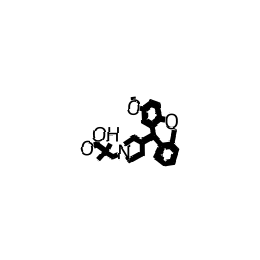 COc1ccc2c(c1)C(=C1CCN(CC(C)(C)C(=O)O)CC1)c1ccccc1CO2